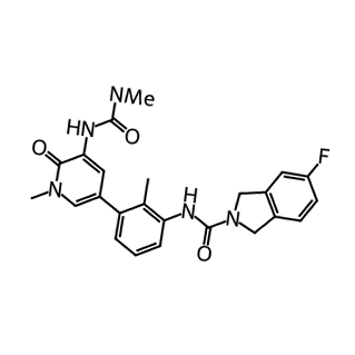 CNC(=O)Nc1cc(-c2cccc(NC(=O)N3Cc4ccc(F)cc4C3)c2C)cn(C)c1=O